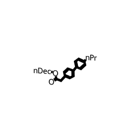 CCCCCCCCCCOC(=O)Cc1ccc(-c2ccc(CCC)cc2)cc1